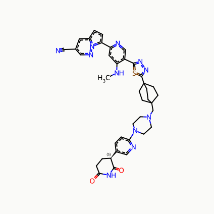 CNc1cc(-c2ccc3cc(C#N)cnn23)ncc1-c1nnc(C23CCC(CN4CCN(c5ccc([C@@H]6CCC(=O)NC6=O)cn5)CC4)(CC2)CC3)s1